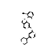 N#Cc1cccc(Cl)c1-n1ncc2cnc(Nc3cc(C4CCOCC4)ncn3)cc21